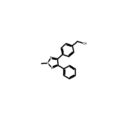 Cn1nc(-c2ccccc2)c(-c2ccc(CC#N)cc2)n1